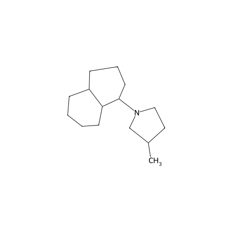 CC1CCN(C2CCCC3CCCCC32)C1